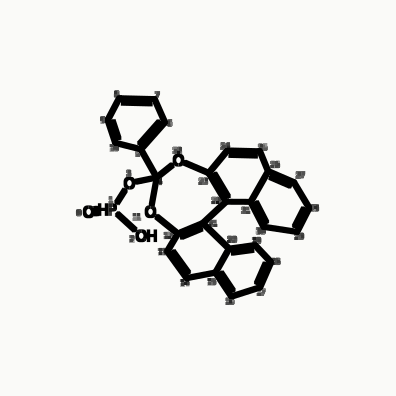 O=[PH](O)OC1(c2ccccc2)Oc2ccc3ccccc3c2-c2c(ccc3ccccc23)O1